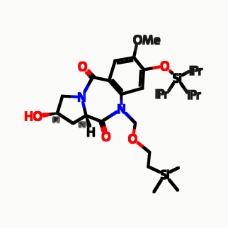 COc1cc2c(cc1O[Si](C(C)C)(C(C)C)C(C)C)N(COCC[Si](C)(C)C)C(=O)[C@@H]1C[C@@H](O)CN1C2=O